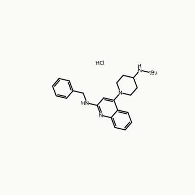 CC(C)(C)NC1CCN(c2cc(NCc3ccccc3)nc3ccccc23)CC1.Cl